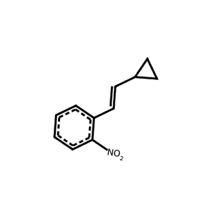 O=[N+]([O-])c1ccccc1C=CC1CC1